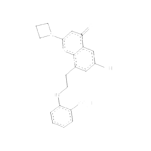 Cc1cc(CCNc2ccccc2C(=O)O)c2oc(N3CCC3)cc(=O)c2c1